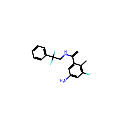 C=C(NCC(F)(F)c1ccccc1)c1cc(N)cc(F)c1C